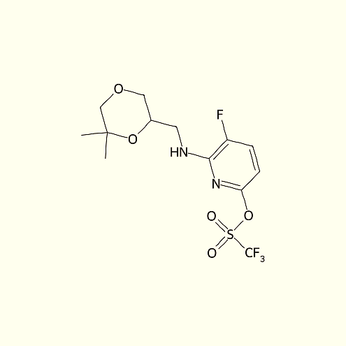 CC1(C)COCC(CNc2nc(OS(=O)(=O)C(F)(F)F)ccc2F)O1